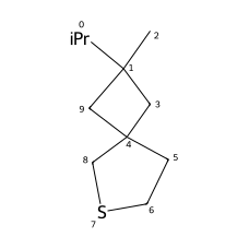 CC(C)C1(C)CC2(CCSC2)C1